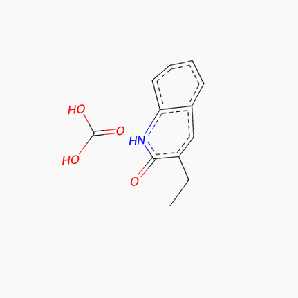 CCc1cc2ccccc2[nH]c1=O.O=C(O)O